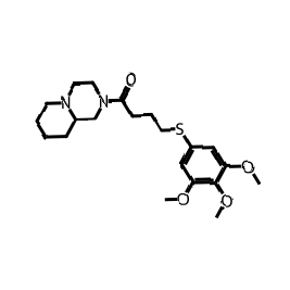 COc1cc(SCCCC(=O)N2CCN3CCCCC3C2)cc(OC)c1OC